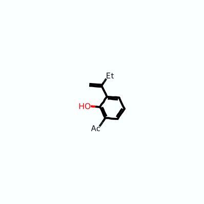 C=C(CC)c1cccc(C(C)=O)c1O